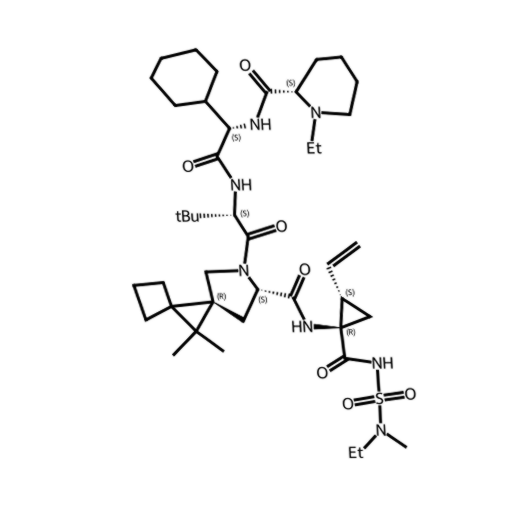 C=C[C@@H]1C[C@]1(NC(=O)[C@@H]1C[C@@]2(CN1C(=O)[C@@H](NC(=O)[C@@H](NC(=O)[C@@H]1CCCCN1CC)C1CCCCC1)C(C)(C)C)C(C)(C)C21CCC1)C(=O)NS(=O)(=O)N(C)CC